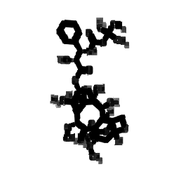 CO[C@H]1C(=O)[C@]2(C)[C@@H](OC)C[C@H]3OC[C@@]3(OC(C)=O)[C@H]2[C@H](O)[C@]2(O)C[C@H](OC(=O)[C@H](O)[C@@H](NC(=O)OC(C)(C)C)c3ccccc3)C(C)=C1C2(C)C